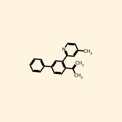 C=C(C)c1ccc(-c2ccccc2)cc1-c1cc(C)ccn1